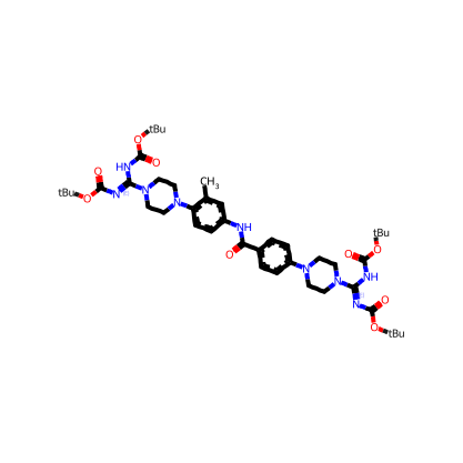 Cc1cc(NC(=O)c2ccc(N3CCN(/C(=N/C(=O)OC(C)(C)C)NC(=O)OC(C)(C)C)CC3)cc2)ccc1N1CCN(/C(=N/C(=O)OC(C)(C)C)NC(=O)OC(C)(C)C)CC1